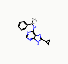 C[C@@H](Nc1ncnc2[nH]c(C3CC3)nc12)c1ccccc1